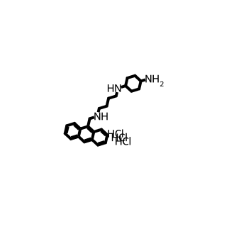 Cl.Cl.Cl.NC1CCC(NCCCCNCc2c3ccccc3cc3ccccc23)CC1